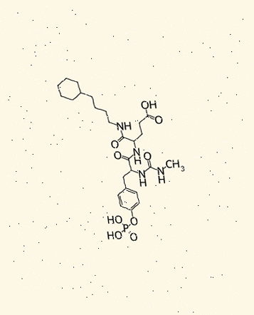 CNC(=O)NC(Cc1ccc(OP(=O)(O)O)cc1)C(=O)NC(CCC(=O)O)C(=O)NCCCCC1CCCCC1